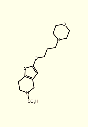 O=C(O)N1CCc2sc(OCCCN3CCOCC3)cc2C1